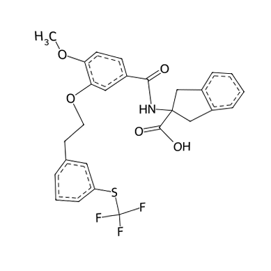 COc1ccc(C(=O)NC2(C(=O)O)Cc3ccccc3C2)cc1OCCc1cccc(SC(F)(F)F)c1